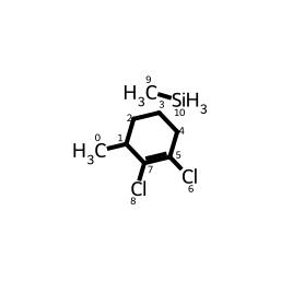 CC1CCCC(Cl)=C1Cl.C[SiH3]